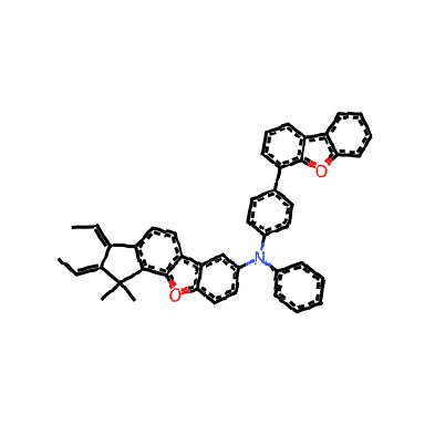 C/C=C1\C(=C/C)c2ccc3c(oc4ccc(N(c5ccccc5)c5ccc(-c6cccc7c6oc6ccccc67)cc5)cc43)c2C1(C)C